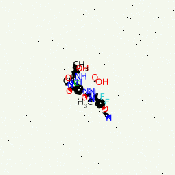 CCN(NC(=O)[C@H]1C[C@](O)(CC)CN1)C(=O)c1ccc(NC(=O)c2ncc(-c3ccc(OCC#N)c(F)c3F)n2C)cc1Cl.O=CO